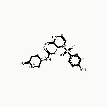 Cc1ccc(S(=O)(=O)N2C=CNC(=O)[C@H]2CC(=O)N[C@@H]2CCC(=O)NC2)cc1